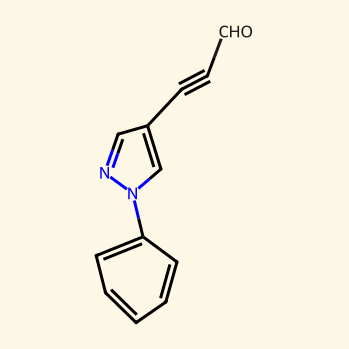 O=CC#Cc1cnn(-c2ccccc2)c1